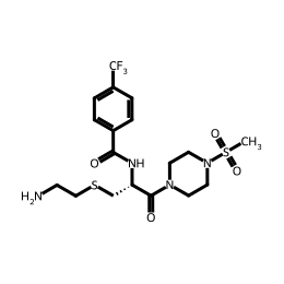 CS(=O)(=O)N1CCN(C(=O)[C@H](CSCCN)NC(=O)c2ccc(C(F)(F)F)cc2)CC1